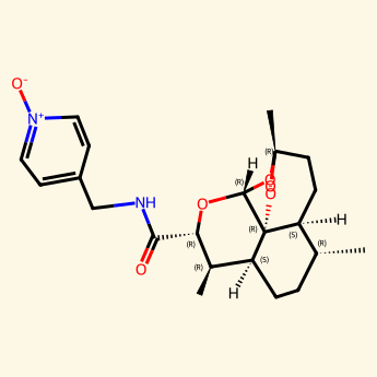 C[C@H]1[C@H](C(=O)NCc2cc[n+]([O-])cc2)O[C@@H]2O[C@@]3(C)CC[C@H]4[C@H](C)CC[C@@H]1[C@@]24OO3